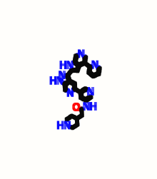 O=C(CC1CCNCC1)Nc1cncc(-c2cc3c(-c4cc5c(-c6ccccn6)cncc5[nH]4)n[nH]c3cn2)c1